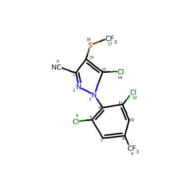 N#Cc1nn(-c2c(Cl)cc(C(F)(F)F)cc2Cl)c(Cl)c1SC(F)(F)F